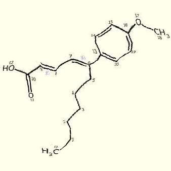 CCCCCC/C(=C\C=C\C(=O)O)c1ccc(OC)cc1